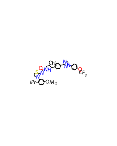 COc1ccc(C(C)C)c(N2CCS/C2=N\C(=O)NCC(C)Cc2ccc(-c3ncn(-c4ccc(OC(F)(F)F)cc4)n3)cc2)c1